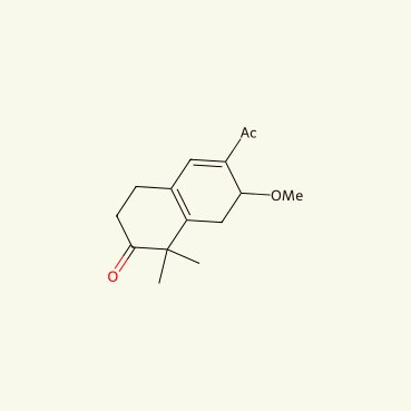 COC1CC2=C(C=C1C(C)=O)CCC(=O)C2(C)C